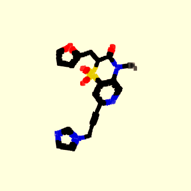 CN1C(=O)C(Cc2ccco2)S(=O)(=O)c2cc(C#CCn3ccnc3)ncc21